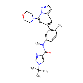 Cc1ccc(N(C)C(=O)c2cn(C(C)(C)C)cn2)cc1-c1cc(N2CCOCC2)n2nccc2c1